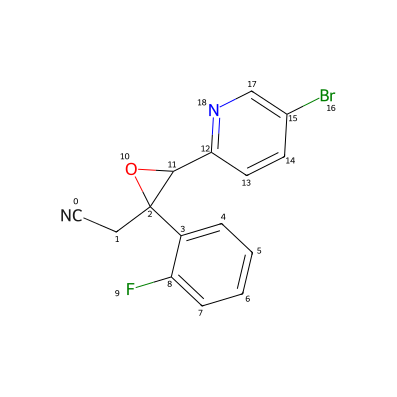 N#CCC1(c2ccccc2F)OC1c1ccc(Br)cn1